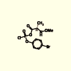 CON[C@@H](C)C(=O)OP(=O)(Cl)Oc1ccc(Br)cc1